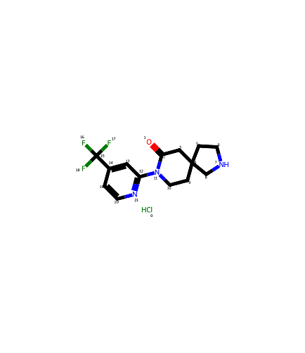 Cl.O=C1CC2(CCNC2)CCN1c1cc(C(F)(F)F)ccn1